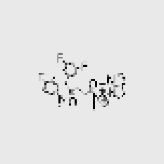 Cc1cc(N(C)C(=O)[C@@H](CCC(=O)NS(=O)(=O)N2CCc3cccnc32)Cc2cc(F)cc(F)c2)ccc1F